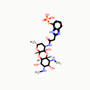 CN[C@@H]1[C@H](O)[C@H](NC)[C@H]2O[C@]3(O)[C@H](O[C@@H]2[C@H]1O)O[C@H](C)C[C@H]3NC(=O)Cc1nc2cccc(OP(=O)(O)O)c2[nH]1